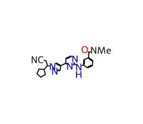 CNC(=O)c1cccc(Nc2nccc(-c3cnn(C(CC#N)C4CCCC4)c3)n2)c1